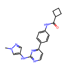 Cn1cc(Nc2nccc(-c3ccc(NC(=O)C4CCC4)cc3)n2)cn1